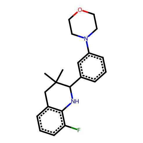 CC1(C)Cc2cccc(F)c2NC1c1cccc(N2CCOCC2)c1